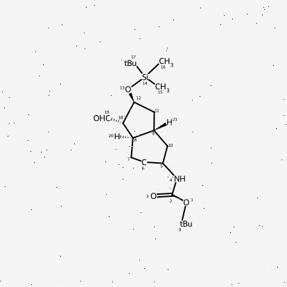 CC(C)(C)OC(=O)NC1CC[C@@H]2[C@@H](C1)C[C@H](O[Si](C)(C)C(C)(C)C)[C@H]2C=O